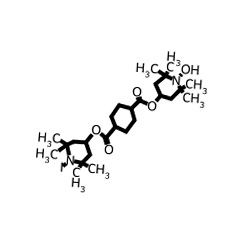 CC1(C)CC(OC(=O)C2CCC(C(=O)OC3CC(C)(C)N(I)C(C)(C)C3)CC2)CC(C)(C)N1O